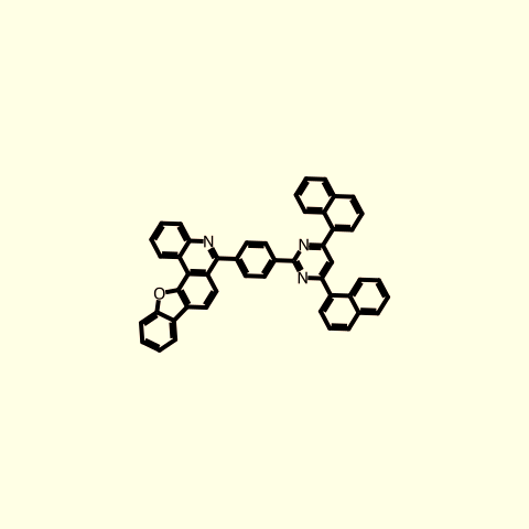 c1ccc2c(-c3cc(-c4cccc5ccccc45)nc(-c4ccc(-c5nc6ccccc6c6c5ccc5c7ccccc7oc56)cc4)n3)cccc2c1